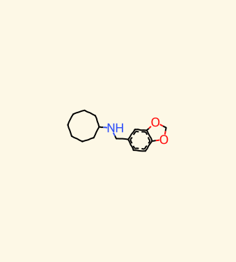 c1cc2c(cc1CNC1CCCCCCC1)OCO2